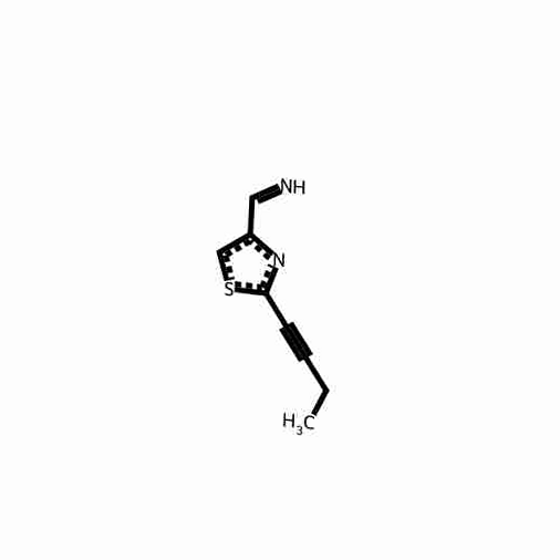 CCC#Cc1nc(C=N)cs1